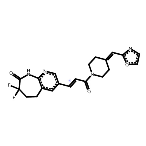 O=C(/C=C/c1cnc2c(c1)CCC(F)(F)C(=O)N2)N1CCC(=Cc2ncco2)CC1